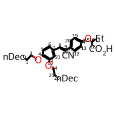 CCCCCCCCCCCCOc1ccc(/C=C(\C#N)c2ccc(OC(CC)C(=O)O)cc2)cc1OCCCCCCCCCCCC